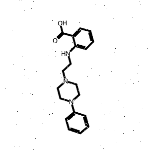 O=C(O)c1ccccc1NCCN1CCN(c2ccccc2)CC1